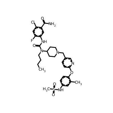 CCCCN(C(=O)Nc1cc(C(N)=O)c(Cl)cc1F)C1CCN(Cc2ccc(Oc3ccc(NS(C)(=O)=O)cc3C)nc2)CC1